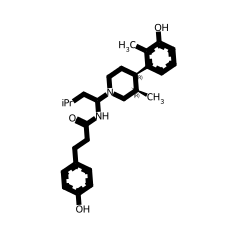 Cc1c(O)cccc1[C@@H]1CCN(C(CC(C)C)NC(=O)CCc2ccc(O)cc2)C[C@@H]1C